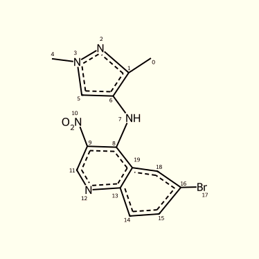 Cc1nn(C)cc1Nc1c([N+](=O)[O-])cnc2ccc(Br)cc12